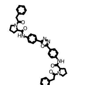 O=C(Nc1ccc(-c2nnc(-c3ccc(NC(=O)C4CCCN4C(=O)Cc4ccccc4)cc3)o2)cc1)C1CCCN1C(=O)Cc1ccccc1